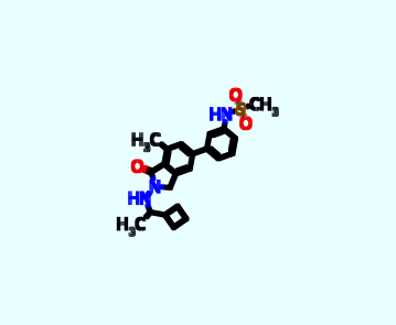 Cc1cc(-c2cccc(NS(C)(=O)=O)c2)cc2c1C(=O)N(NC(C)C1CCC1)C2